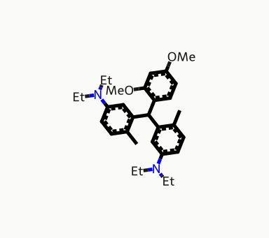 CCN(CC)c1ccc(C)c(C(c2cc(N(CC)CC)ccc2C)c2ccc(OC)cc2OC)c1